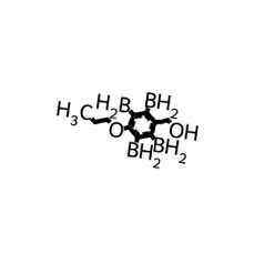 Bc1c(B)c(OCCC)c(B)c(B)c1CO